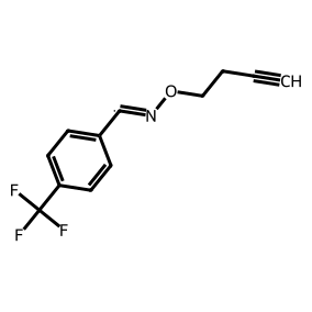 C#CCCON=[C]c1ccc(C(F)(F)F)cc1